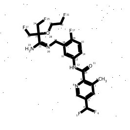 Cc1cc(C(F)F)cnc1C(=O)Nc1ccc(F)c(C/N=C(/N)C(CF)(CF)OCCF)c1